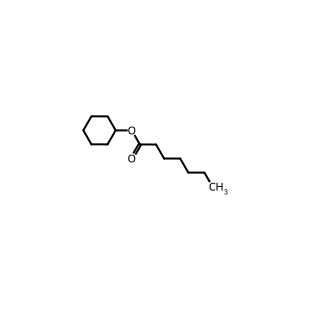 CCCCCCC(=O)OC1CCCCC1